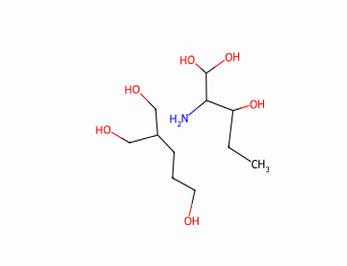 CCC(O)C(N)C(O)O.OCCCC(CO)CO